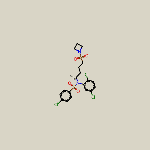 C[C@H](CCCS(=O)(=O)N1CCC1)N(c1cc(Cl)ccc1Cl)S(=O)(=O)c1ccc(Cl)cc1